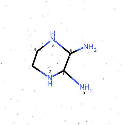 NC1NCCNC1N